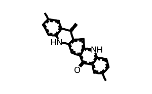 C=C1c2cc(C)ccc2Nc2cc3c(=O)c4cc(C)ccc4[nH]c3cc21